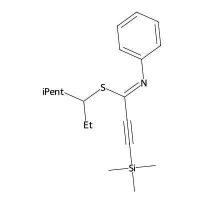 CCCC(C)C(CC)SC(C#C[Si](C)(C)C)=Nc1ccccc1